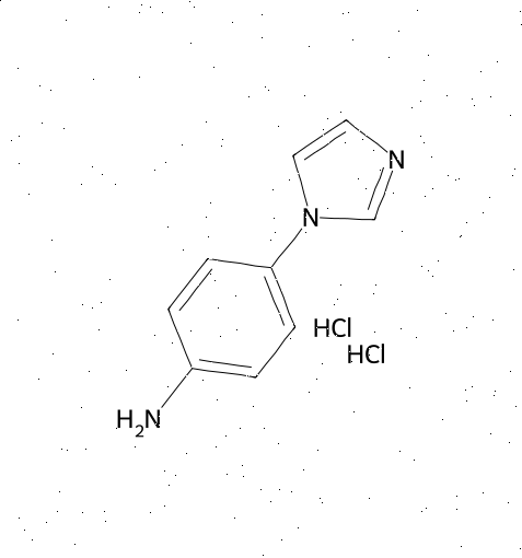 Cl.Cl.Nc1ccc(-n2ccnc2)cc1